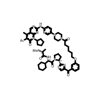 CN[C@@H](C)C(=O)N[C@H](C(=O)N1CCC[C@H]1c1nc(C(=O)c2cccc(OCCCCCC(=O)N3CCN(c4ccc(Nc5ncc6c(C)c(C(C)=O)c(=O)n(C7CCCC7)c6n5)nc4)CC3)c2)cs1)C1CCCCC1